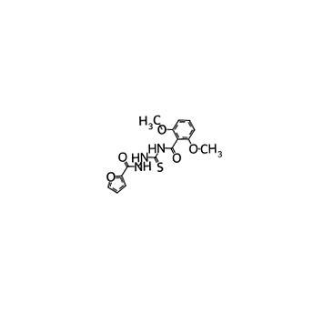 COc1cccc(OC)c1C(=O)NC(=S)NNC(=O)c1ccco1